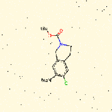 CNc1cc2c(cc1Cl)CCN(C(=O)OC(C)(C)C)C2